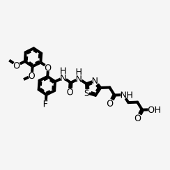 COc1cccc(Oc2ccc(F)cc2NC(=O)Nc2nc(CC(=O)NCCC(=O)O)cs2)c1OC